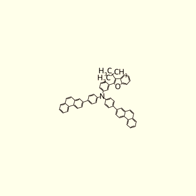 CC(C)(C)c1c(-c2cccc(N(c3ccc(-c4ccc5c(ccc6ccccc65)c4)cc3)c3ccc(-c4ccc5c(ccc6ccccc65)c4)cc3)c2)oc2ccccc12